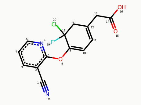 N#Cc1cccnc1OC1=CC=C(CC(=O)O)CC1(F)Cl